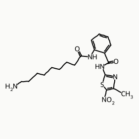 Cc1nc(NC(=O)c2ccccc2NC(=O)CCCCCCCCN)sc1[N+](=O)[O-]